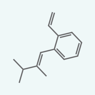 C=Cc1ccccc1/C=C(\C)C(C)C